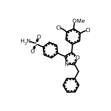 COc1c(Cl)cc(-c2oc(Cc3ccccc3)nc2-c2ccc(S(N)(=O)=O)cc2)cc1Cl